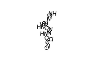 C=CC(=O)Nc1cc2c(Nc3ccc(OCc4ccccn4)c(Cl)c3)ncnc2cc1OCCN1CCC2NCCC21